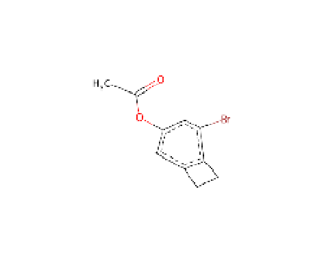 CC(=O)Oc1cc(Br)c2c(c1)CC2